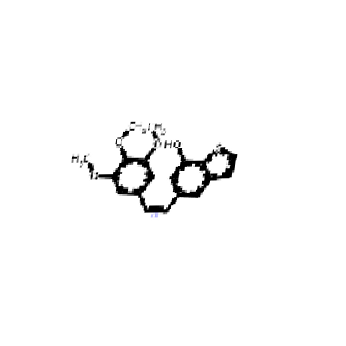 COc1cc(/C=C\c2cc(O)c3sccc3c2)cc(OC)c1OC